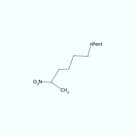 CCCCC[CH]CCCC(C)[N+](=O)[O-]